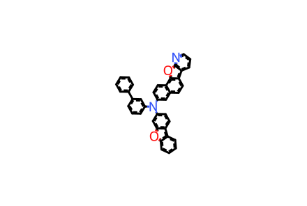 c1ccc(-c2cccc(N(c3ccc4c(ccc5c6cccnc6oc45)c3)c3ccc4c(c3)oc3ccccc34)c2)cc1